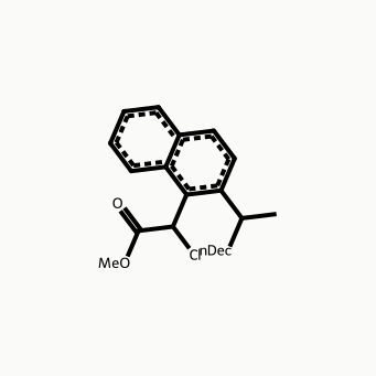 CCCCCCCCCCC(C)c1ccc2ccccc2c1C(Cl)C(=O)OC